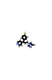 Cc1cn(C[CH]C(c2ccncc2)c2ccc(F)cc2)cn1